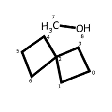 C1CC2(C1)CCC2.CO